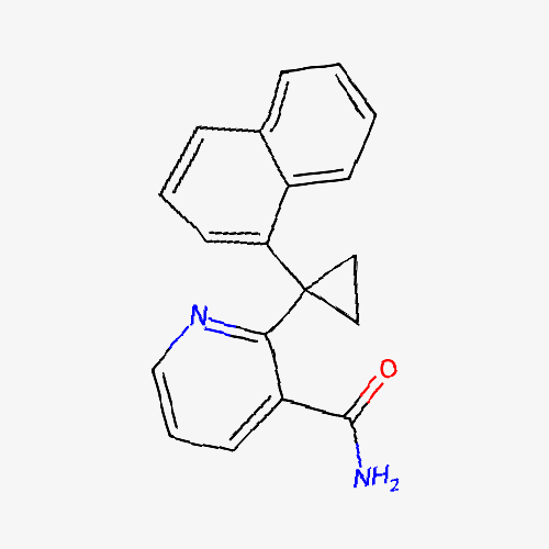 NC(=O)c1cccnc1C1(c2cccc3ccccc23)CC1